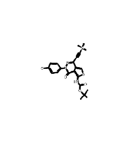 CC(C)(C)OC(=O)Nc1scc2c(C#C[Si](C)(C)C)nn(-c3ccc(Cl)cc3)c(=O)c12